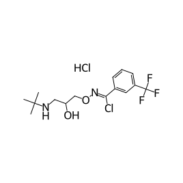 CC(C)(C)NCC(O)CON=C(Cl)c1cccc(C(F)(F)F)c1.Cl